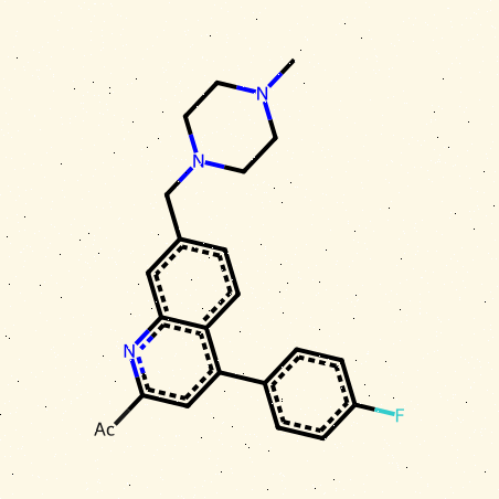 CC(=O)c1cc(-c2ccc(F)cc2)c2ccc(CN3CCN(C)CC3)cc2n1